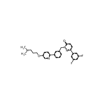 CN(C)CCCOc1ccc(-c2cccc(Cn3nc(-c4cc(F)cc(F)c4)ccc3=O)c2)nc1